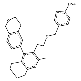 COc1ccc(COCCc2c(C)nc3c(c2-c2ccc4c(c2)CCOC4)CCCC3)cc1